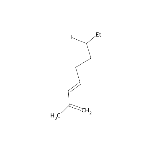 C=C(C)/C=C/CCC(I)CC